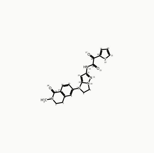 CN1CCc2cc(N3CCn4nc(NC(=O)C(=O)c5cccs5)cc43)ccc2C1=O